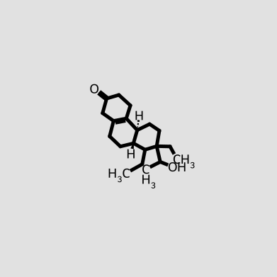 CCC1[C@@H]2CCC3=C(CCC(=O)C3)[C@H]2CCC1(CC)C(C)O